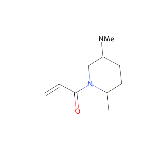 C=CC(=O)N1CC(NC)CCC1C